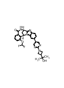 CC(C)(O)C1CN(c2ncc(-c3ccc4nc5n(c4c3)[C@@H]3C[C@H]5NC(=O)c4cccc(OC(F)F)c43)cn2)C1